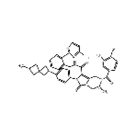 C[C@H]1Cn2c(c(C(=O)NCc3ccccc3-c3nccc(C(F)(F)F)n3)n(-c3ccc(N4CC5(CN(C)C5)C4)cc3)c2=O)CN1C(=O)c1ccc(Br)c(C(F)(F)F)c1